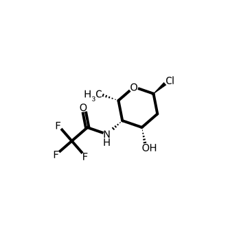 C[C@@H]1O[C@@H](Cl)C[C@H](O)[C@@H]1NC(=O)C(F)(F)F